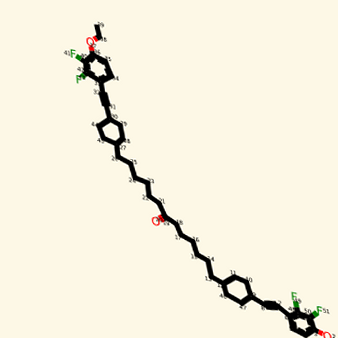 CCOc1ccc(C#CC2CCC(CCCCCCC(=O)CCCCCCC3CCC(C#Cc4ccc(OCC)c(F)c4F)CC3)CC2)c(F)c1F